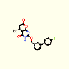 CCc1cc(=O)oc2nc(OCc3cccc(-c4ccc(F)cc4)c3)[nH]c(=O)c12